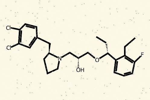 CCc1c(F)cccc1[C@@H](CC)OC[C@H](O)CN1CCC[C@H]1Cc1ccc(Cl)c(Cl)c1